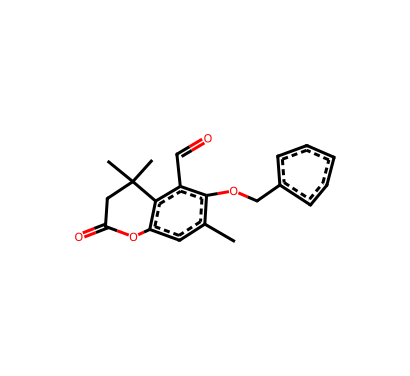 Cc1cc2c(c(C=O)c1OCc1ccccc1)C(C)(C)CC(=O)O2